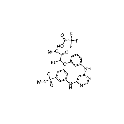 CCC(Oc1cccc(Nc2cc(Nc3cccc(S(=O)(=O)NC)c3)ncn2)c1)C(=O)OC.O=C(O)C(F)(F)F